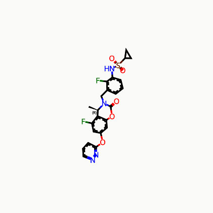 C[C@@H]1c2c(F)cc(Oc3cccnn3)cc2OC(=O)N1Cc1cccc(NS(=O)(=O)C2CC2)c1F